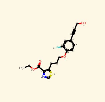 CCOC(=O)c1ncsc1CCCOc1ccc(C#CCO)cc1F